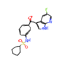 O=C(c1cccc(NS(=O)(=O)C2CCCCC2)c1)c1c[nH]c2ncc(F)cc12